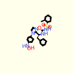 Cc1ccccc1S(=O)(=O)NC(=O)N[C@@H](Cc1ccccc1)c1nccn1-c1ccc(NO)cc1